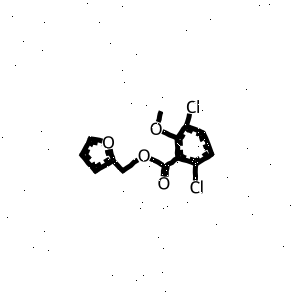 COc1c(Cl)ccc(Cl)c1C(=O)OCc1ccco1